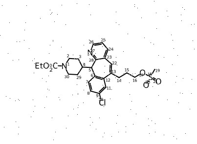 CCOC(=O)N1CCC(C2c3ccc(Cl)cc3C(CCCOS(C)(=O)=O)=Cc3cccnc32)CC1